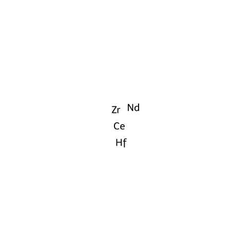 [Ce].[Hf].[Nd].[Zr]